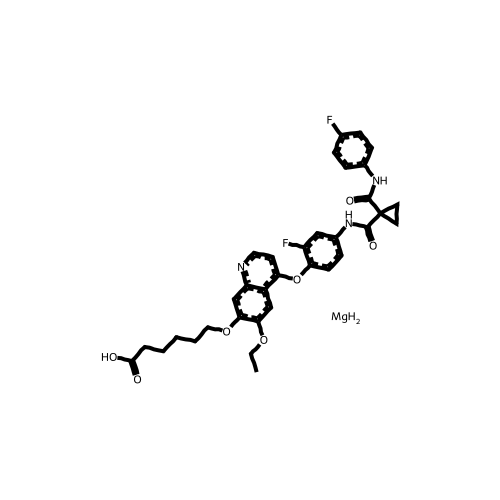 CCOc1cc2c(Oc3ccc(NC(=O)C4(C(=O)Nc5ccc(F)cc5)CC4)cc3F)ccnc2cc1OCCCCCC(=O)O.[MgH2]